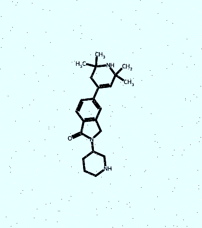 CC1(C)C=C(c2ccc3c(c2)CN(C2CCCNC2)C3=O)CC(C)(C)N1